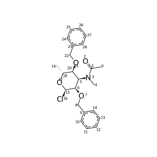 CC(=O)N(C)[C@H]1[C@@H](OCc2ccccc2)[C@@H](Cl)O[C@H](C)[C@H]1OCc1ccccc1